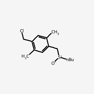 CCCC[S+]([O-])Cc1cc(C)c(CCl)cc1C